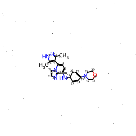 Cc1n[nH]c(C)c1-c1ccc(NC2C=CC(N3CCOCC3)=CC2)c2nccn12